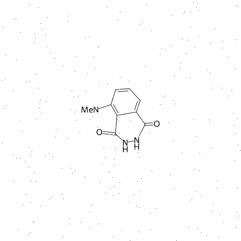 CNc1cccc2c(=O)[nH][nH]c(=O)c12